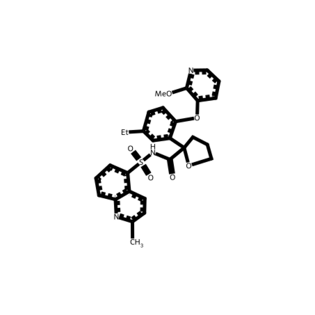 CCc1ccc(Oc2cccnc2OC)c(C2(C(=O)NS(=O)(=O)c3cccc4nc(C)ccc34)CCCO2)c1